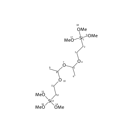 CO[Si](CCOC(C)OC(C)OCC[Si](OC)(OC)OC)(OC)OC